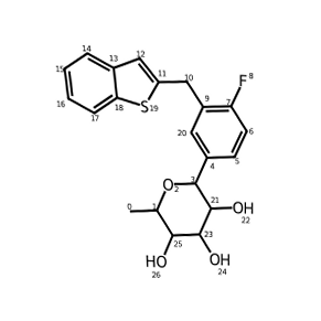 CC1OC(c2ccc(F)c(Cc3cc4ccccc4s3)c2)C(O)C(O)C1O